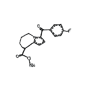 CCCCOC(=O)C1CCCn2c(C(=O)c3ccc(F)cc3)ccc21